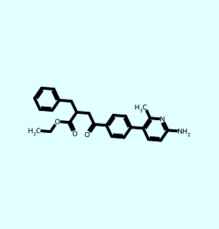 CCOC(=O)C(CC(=O)c1ccc(-c2ccc(N)nc2C)cc1)Cc1ccccc1